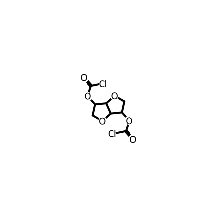 O=C(Cl)OC1COC2C(OC(=O)Cl)COC12